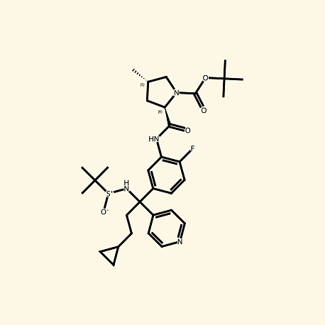 C[C@H]1C[C@H](C(=O)Nc2cc(C(CCC3CC3)(N[S+]([O-])C(C)(C)C)c3ccncc3)ccc2F)N(C(=O)OC(C)(C)C)C1